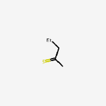 [CH2]CCC(C)=S